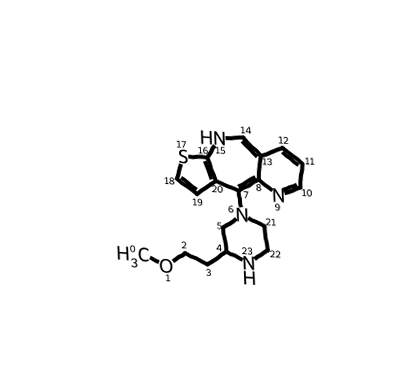 COCCC1CN(C2=c3ncccc3=CNc3sccc32)CCN1